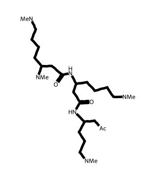 CNCCCCC(CC(=O)NC(CCCCNC)CC(=O)NC(CCCNC)CC(C)=O)NC